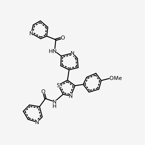 COc1ccc(-c2nc(NC(=O)c3cccnc3)sc2-c2ccnc(NC(=O)c3cccnc3)c2)cc1